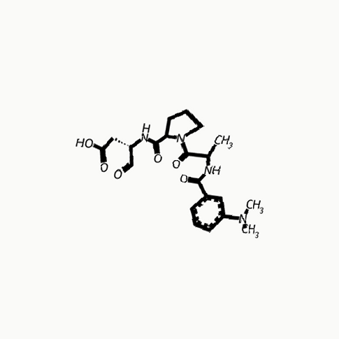 CC(NC(=O)c1cccc(N(C)C)c1)C(=O)N1CCCC1C(=O)N[C@H](C=O)CC(=O)O